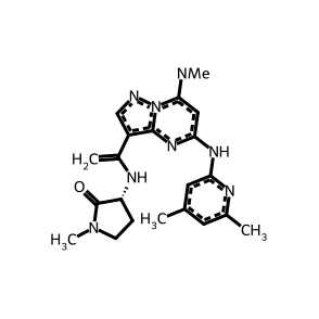 C=C(N[C@@H]1CCN(C)C1=O)c1cnn2c(NC)cc(Nc3cc(C)cc(C)n3)nc12